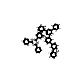 c1ccc(C2=NC(c3cccc(-n4c5ccc(-c6ccc7oc8ccccc8c7c6)cc5c5cc(-c6ccccc6)cc(-c6ccccc6)c54)c3)NC(c3ccccc3)=N2)cc1